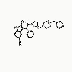 N#Cc1ccc2[nH]c(=O)n(C(C(=O)N3CC[C@@H](CN4CCN(Cc5ccccc5)CC4)C3)c3ccccc3)c2c1